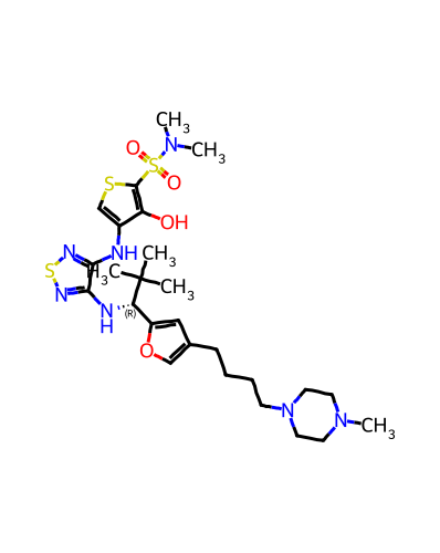 CN1CCN(CCCCc2coc([C@H](Nc3nsnc3Nc3csc(S(=O)(=O)N(C)C)c3O)C(C)(C)C)c2)CC1